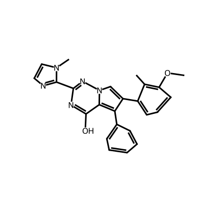 COc1cccc(-c2cn3nc(-c4nccn4C)nc(O)c3c2-c2ccccc2)c1C